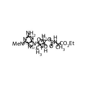 CCOC(=O)[C@@H](C)N[PH](=O)OC1[C@H]2O[C@@H](n3cnc4c(NC)nc(N)nc43)[C@](C)(F)[C@@]12O